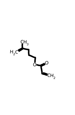 C=CC(=O)OCCCC(=C)C